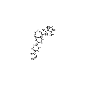 CC(C)N1NCNC1C1NC2=C(CCOc3cc(C4CCN(C(=O)OC(C)(C)C)CC4)ccc32)S1